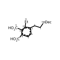 CCCCCCCCCCCCc1ccc(C(=O)O)c(C(=O)O)c1CC